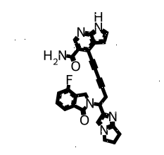 NC(=O)c1cnc2[nH]ccc2c1C#CC#CCC(c1cn2c(n1)CCC2)N1Cc2c(F)cccc2C1=O